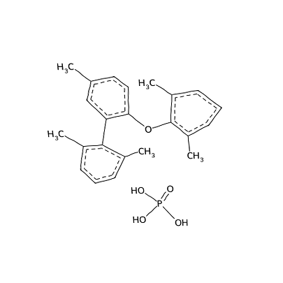 Cc1ccc(Oc2c(C)cccc2C)c(-c2c(C)cccc2C)c1.O=P(O)(O)O